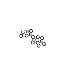 CC1(C)c2ccccc2-c2ccc(N(c3ccccc3)c3ccc4c(c3)-c3ccccc3C43c4ccccc4-c4c3cc3ccccc3c4N(c3ccccc3)c3ccccc3)cc21